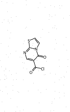 O=C(Cl)c1cnc2sccn2c1=O